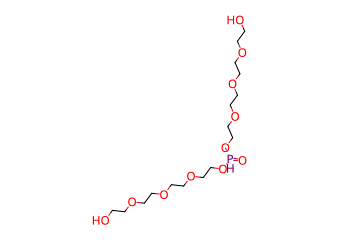 O=[PH](OCCOCCOCCOCCO)OCCOCCOCCOCCO